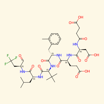 Cc1ccccc1C[C@H](NC(=O)[C@H](CCC(=O)O)NC(=O)[C@H](CC(=O)O)NC(=O)CCC(=O)O)C(=O)N[C@H](C(=O)N[C@@H](CC(C)C)C(=O)N[C@H](C=O)CC(F)(F)F)C(C)(C)C